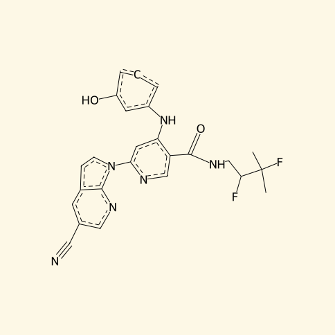 CC(C)(F)C(F)CNC(=O)c1cnc(-n2ccc3cc(C#N)cnc32)cc1Nc1cccc(O)c1